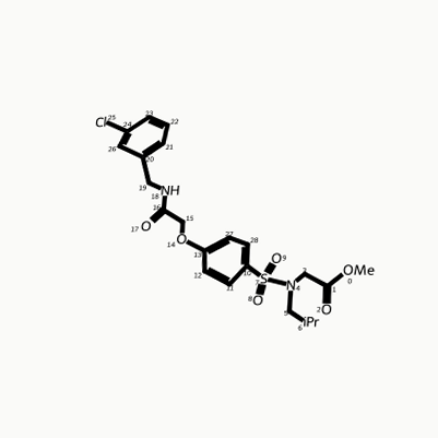 COC(=O)CN(CC(C)C)S(=O)(=O)c1ccc(OCC(=O)NCc2cccc(Cl)c2)cc1